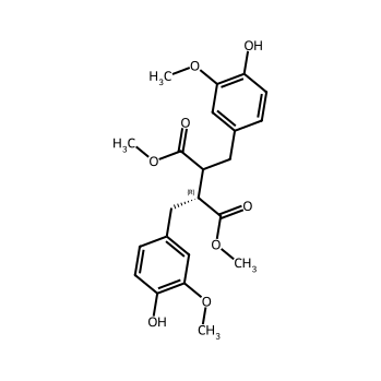 COC(=O)C(Cc1ccc(O)c(OC)c1)[C@@H](Cc1ccc(O)c(OC)c1)C(=O)OC